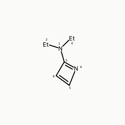 CCN(CC)C1=NC=C1